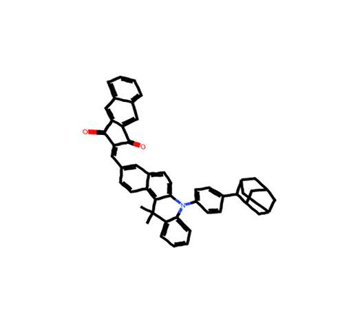 CC1(C)c2ccccc2N(c2ccc(C3C4CC5CC(C4)CC3C5)cc2)c2ccc3cc(C=C4C(=O)c5cc6ccccc6cc5C4=O)ccc3c21